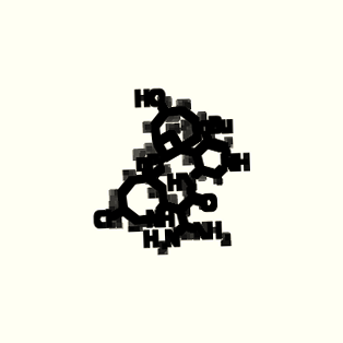 CCCCC1=CNCC(NC(=O)C(C(N)N)C2CC(C)(CCC)CCC(Cl)CN2)C1C12CCCC(O)CC(C1)C2